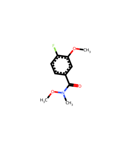 COc1cc(C(=O)N(C)OC)ccc1F